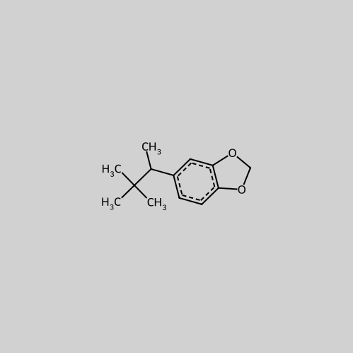 CC(c1ccc2c(c1)OCO2)C(C)(C)C